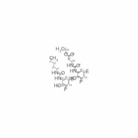 CCCCCNC(=O)Nc1cc(F)cc(F)c1O.CCOC(=O)CCNC(=O)Nc1cc(F)cc(F)c1O